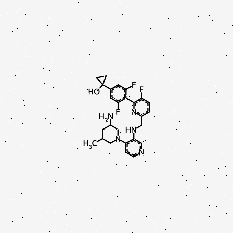 CC1CC(N)CN(c2ccncc2NCc2ccc(F)c(-c3c(F)cc(C4(O)CC4)cc3F)n2)C1